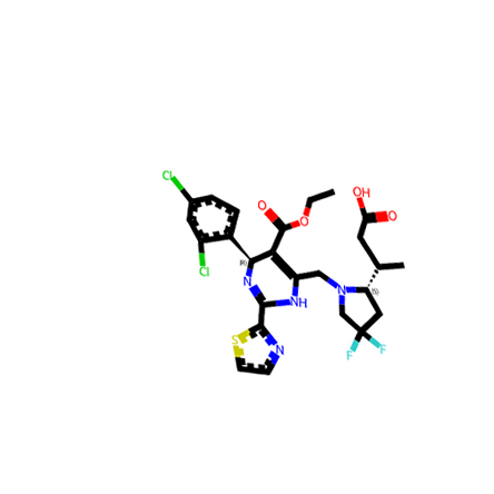 CCOC(=O)C1=C(CN2CC(F)(F)C[C@H]2C(C)CC(=O)O)NC(c2nccs2)=N[C@H]1c1ccc(Cl)cc1Cl